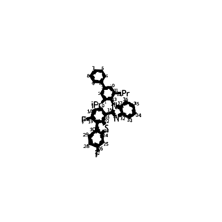 CC(C)c1cc(-c2ccccc2)cc(C(C)C)c1-n1c(-c2ccc(F)c3c2sc2cc(F)ccc23)nc2ccccc21